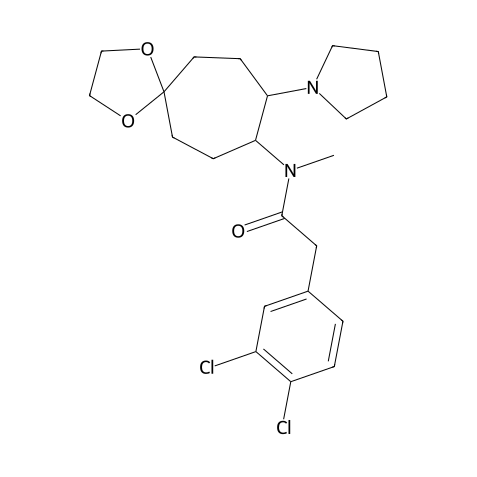 CN(C(=O)Cc1ccc(Cl)c(Cl)c1)C1CCC2(CCC1N1CCCC1)OCCO2